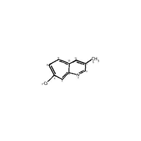 Cc1cnc2cc([O])ccc2c1